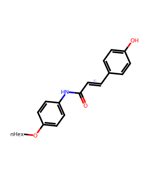 CCCCCCOc1ccc(NC(=O)/C=C/c2ccc(O)cc2)cc1